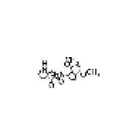 COc1ccc(OC)c2c1CCC2NC(=O)N1SC2NC=CC=C2C1=O